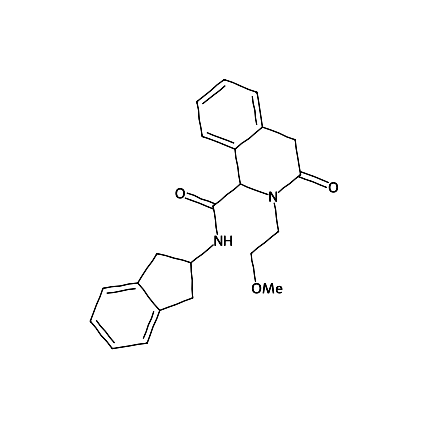 COCCN1C(=O)Cc2ccccc2C1C(=O)NC1Cc2ccccc2C1